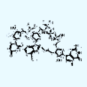 COCC[C@H]1[C@@H](O)[C@H](n2c[n+](C)c3c(=O)[nH]c(N)nc32)O[C@@H]1COP(=O)(O)OP(=O)(O)NP(=O)(O)OC[C@H]1O[C@@H](n2cnc3c(N)ncnc32)[C@H](OC)[C@@H]1P(=O)([O-])OC[C@H]1O[C@@H](n2ccc(=O)[nH]c2=O)[C@H](O)[C@@H]1O